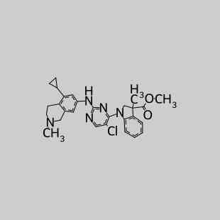 COC(=O)C1(C)CN(c2nc(Nc3cc4c(c(C5CC5)c3)CCN(C)C4)ncc2Cl)c2ccccc21